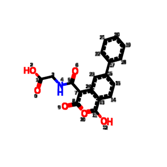 O=C(O)CNC(=O)c1c(=O)oc(O)c2ccc(-c3ccccc3)cc12